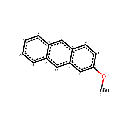 CCCCOc1ccc2cc3ccccc3[c]c2c1